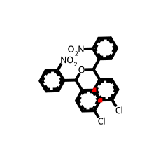 O=[N+]([O-])c1ccccc1C(OC(c1ccc(Cl)cc1)c1ccccc1[N+](=O)[O-])c1ccc(Cl)cc1